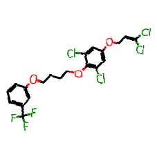 FC(F)(F)c1cccc(OCCCCOc2c(Cl)cc(OCC=C(Cl)Cl)cc2Cl)c1